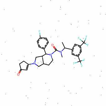 CC(c1cc(C(F)(F)F)cc(C(F)(F)F)c1)N(C)C(=O)N1CCC2CN(C3=CC(=O)CC3)CC2C1c1ccc(F)cc1